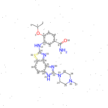 CC(C)Oc1ccc(C(N)=O)cc1Nc1nc2c(ccc3[nH]c(N4CCN(C)CC4)nc32)s1